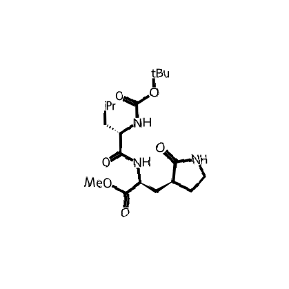 COC(=O)[C@H](C[C@@H]1CCNC1=O)NC(=O)[C@H](CC(C)C)NC(=O)OC(C)(C)C